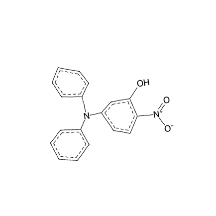 O=[N+]([O-])c1ccc(N(c2ccccc2)c2ccccc2)cc1O